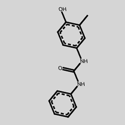 Cc1cc(NC(=O)Nc2ccccc2)ccc1O